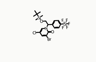 CC(C)(C)[Si](C)(C)OCC(c1ccc(S(F)(F)(F)(F)F)cc1)n1cc(Cl)cc(Br)c1=O